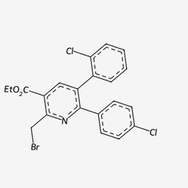 CCOC(=O)c1cc(-c2ccccc2Cl)c(-c2ccc(Cl)cc2)nc1CBr